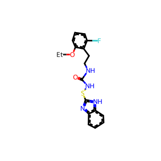 CCOc1cccc(F)c1CCNC(=O)NSc1nc2ccccc2[nH]1